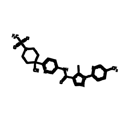 Cc1c(C(=O)Nc2ccc(C3(C#N)CCN(S(=O)(=O)C(F)(F)F)CC3)nc2)cnn1-c1ccc(C(F)(F)F)cn1